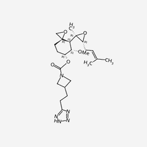 CO[C@@H]1[C@H](OC(=O)N2CC(CCc3nn[nH]n3)C2)CC[C@]2(CO2)[C@H]1[C@@]1(C)O[C@@H]1CC=C(C)C